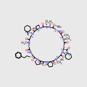 CC[C@H](C)[C@@H]1NC(=O)[C@H](C)N(C)C(=O)C[C@@H](C(=O)N2CCCCC2)N(C)C(=O)[C@H](C(C)C)N(C)C(=O)C2(CCCC2)NC(=O)[C@@H]2CCCN2C(=O)[C@H](CCCc2ccccc2)NC(=O)CN(C)C(=O)[C@H](CC2CCCCC2)N(C)C(=O)[C@@H]2CCN2C(=O)[C@H](C)N(C)C1=O